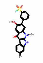 CCCCn1c2cc(-c3cccc(S(=O)(=O)F)c3)c(OCC)cc2c(=O)c2c3ccc(C#N)cc3[nH]c21